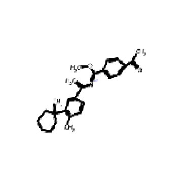 C=C(/N=C(\OC)c1ccc(C(C)=O)cc1)c1ccc(C)c(C2(C)CCCCC2)c1